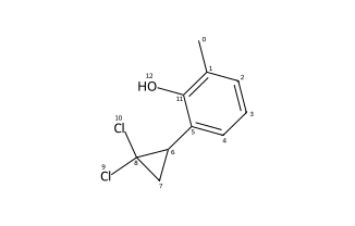 Cc1cccc(C2CC2(Cl)Cl)c1O